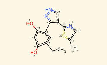 CCc1cc(-c2n[nH]cc2-c2ncc(C)s2)c(O)cc1O